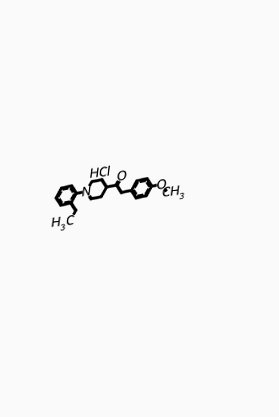 CCc1ccccc1N1CCC(C(=O)Cc2ccc(OC)cc2)CC1.Cl